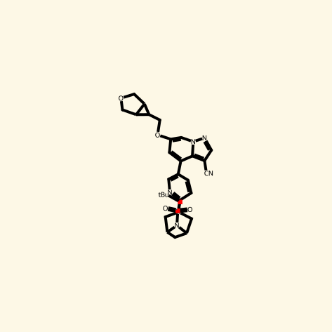 CC(C)(C)CS(=O)(=O)N1C2CC1CN(c1ccc(-c3cc(OCC4C5COCC54)cn4ncc(C#N)c34)cn1)C2